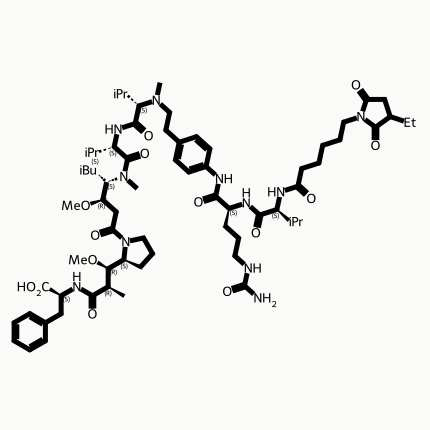 CCC1CC(=O)N(CCCCCC(=O)N[C@H](C(=O)N[C@@H](CCCNC(N)=O)C(=O)Nc2ccc(CCN(C)[C@H](C(=O)N[C@H](C(=O)N(C)[C@@H]([C@@H](C)CC)[C@@H](CC(=O)N3CCC[C@H]3[C@H](OC)[C@@H](C)C(=O)N[C@@H](Cc3ccccc3)C(=O)O)OC)C(C)C)C(C)C)cc2)C(C)C)C1=O